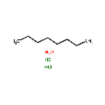 CCCCCCCC.Cl.Cl.O